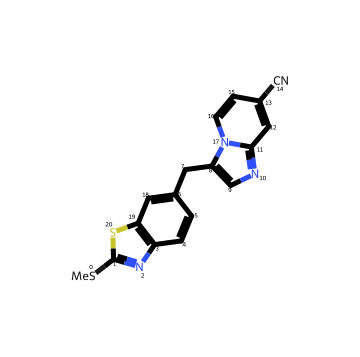 CSc1nc2ccc(Cc3cnc4cc(C#N)ccn34)cc2s1